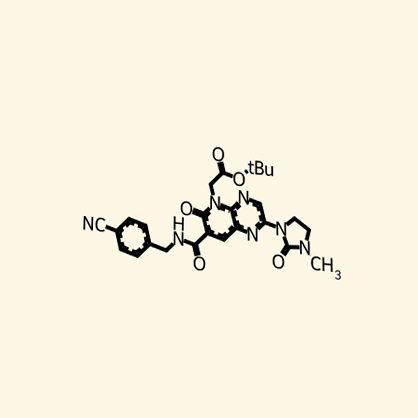 CN1CCN(c2cnc3c(cc(C(=O)NCc4ccc(C#N)cc4)c(=O)n3CC(=O)OC(C)(C)C)n2)C1=O